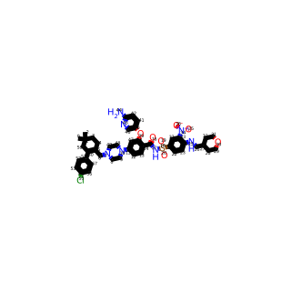 CC1(C)CCC(CN2CCN(c3ccc(C(=O)NS(=O)(=O)c4ccc(NCC5CCOCC5)c([N+](=O)[O-])c4)c(Oc4ccc(N)nc4)c3)CC2)=C(c2ccc(Cl)cc2)C1